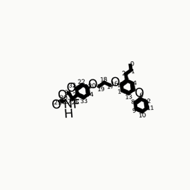 CCCc1cc(Oc2ccccc2)ccc1OCCCOc1ccc(C2(F)NC(=O)OC2=O)cc1